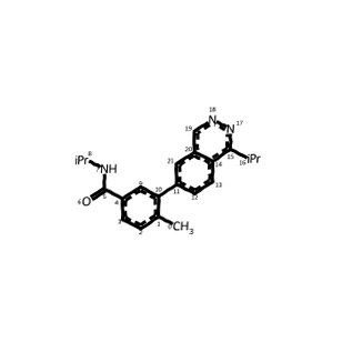 Cc1ccc(C(=O)NC(C)C)cc1-c1ccc2c(C(C)C)nncc2c1